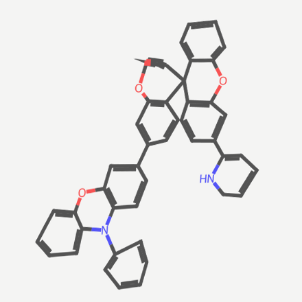 C1=CCNC(c2ccc3c(c2)Oc2ccccc2C32c3ccccc3Oc3cc(-c4ccc5c(c4)Oc4ccccc4N5c4ccccc4)ccc32)=C1